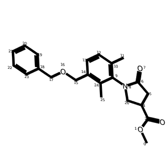 COC(=O)C1CC(=O)N(c2c(C)ccc(COCc3ccccc3)c2C)C1